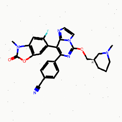 CN1CCC[C@@H](COc2nc(-c3ccc(C#N)cc3)c(-c3cc4oc(=O)n(C)c4cc3F)c3nccn23)C1